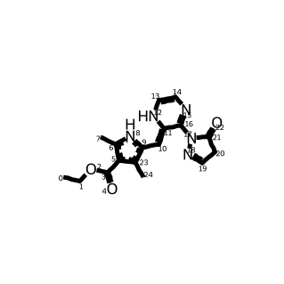 CCOC(=O)c1c(C)[nH]c(C=C2NC=CN=C2N2N=CCC2=O)c1C